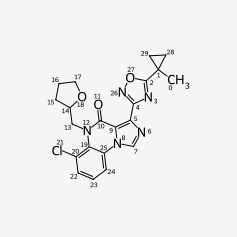 CC1(c2nc(-c3ncn4c3c(=O)n(CC3CCCO3)c3c(Cl)cccc34)no2)CC1